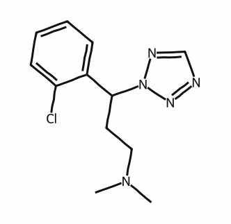 CN(C)CCC(c1ccccc1Cl)n1ncnn1